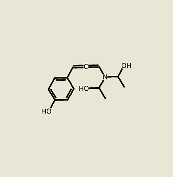 CC(O)N(C=C=Cc1ccc(O)cc1)C(C)O